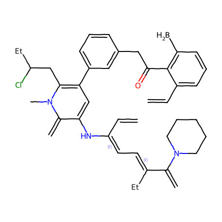 Bc1cccc(C=C)c1C(=O)Cc1cccc(C2=C(CC(Cl)CC)N(C)C(=C)C(N/C(C=C)=C/C=C(\CC)C(=C)N3CCCCC3)=C2)c1